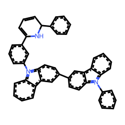 C1=CC(c2ccccc2)NC(c2cccc(-n3c4ccccc4c4cc(-c5ccc6c(c5)c5ccccc5n6-c5ccccc5)ccc43)c2)=C1